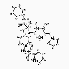 N[C@@H](Cc1cccs1)C(=O)N1CCC(Cc2ccc(NS(=O)(=O)c3ccccn3)cc2)(C(=O)NC2CCCCC2)CC1